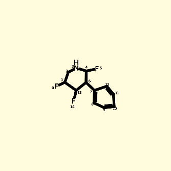 FC1CNC(F)C(c2ccccc2)C1F